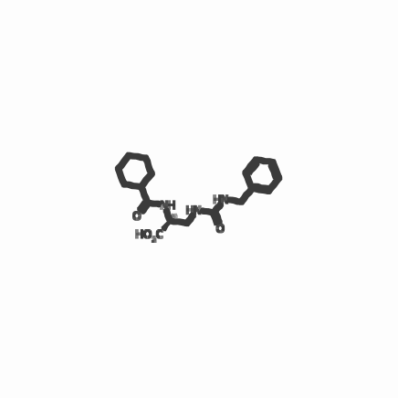 O=C(NCc1ccccc1)NC[C@H](NC(=O)C1CCCCC1)C(=O)O